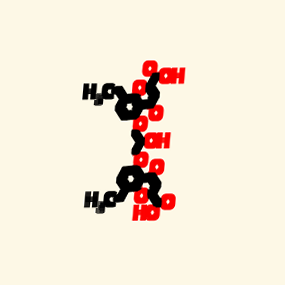 CCc1ccc(OCC(O)COc2ccc(CC)c3oc(C(=O)O)cc(=O)c23)c2c(=O)cc(C(=O)O)oc12